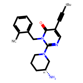 CC(C)(C)C#Cc1cnc(N2CCC[C@@H](N)C2)n(Cc2ccccc2C#N)c1=O